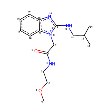 COCCNC(=O)Cn1c(NCC(C)C)nc2ccccc21